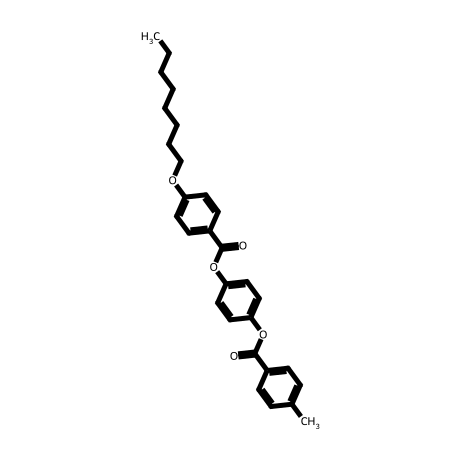 CCCCCCCCOc1ccc(C(=O)Oc2ccc(OC(=O)c3ccc(C)cc3)cc2)cc1